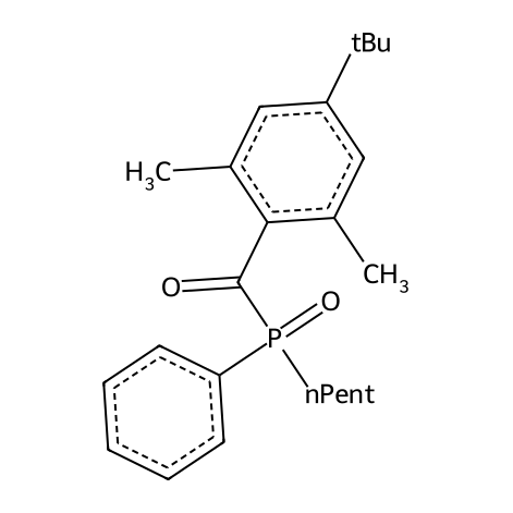 CCCCCP(=O)(C(=O)c1c(C)cc(C(C)(C)C)cc1C)c1ccccc1